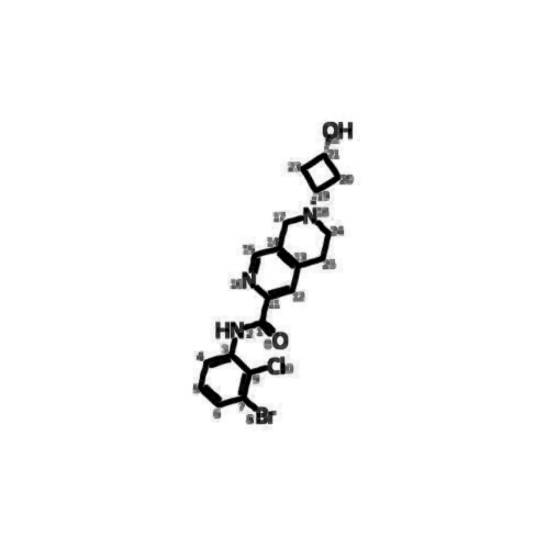 O=C(Nc1cccc(Br)c1Cl)c1cc2c(cn1)CN([C@H]1C[C@@H](O)C1)CC2